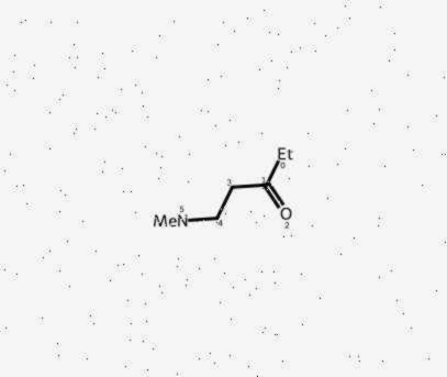 CCC(=O)CCNC